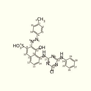 Cc1ccc(N=Nc2c(S(=O)(=O)O)cc3cccc(Nc4nc(Cl)nc(Nc5ccccc5)n4)c3c2O)cc1